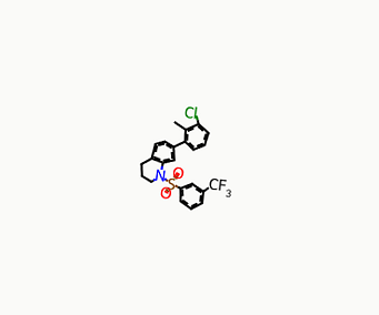 Cc1c(Cl)cccc1-c1ccc2c(c1)N(S(=O)(=O)c1cccc(C(F)(F)F)c1)CCC2